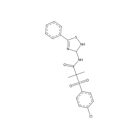 CC(C)(C(=O)NC1N=C(c2ccccc2)SN1)S(=O)(=O)c1ccc(Cl)cc1